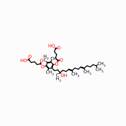 C/C(=C\CCC(C)(O)CCc1c(C)c(OC(=O)CCCC(=O)O)c(C)c(C)c1OC(=O)CCCC(=O)O)CC/C=C(\C)CCCC(C)C